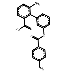 Nc1ccc(C(=O)Oc2cccc(-c3c(N)cccc3C(=O)O)c2)cc1